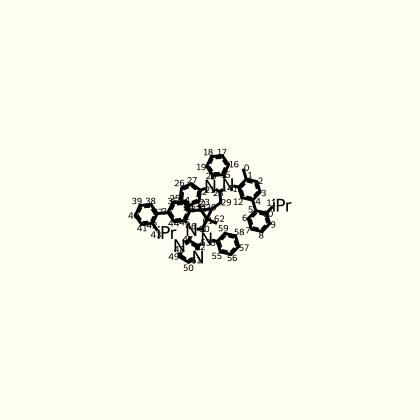 Cc1ccc(-c2ccccc2C(C)C)cc1N1c2ccccc2N(c2ccccc2)C1CC1C2(C)c3ccc(-c4ccccc4C(C)C)cc3N3c4nccnc4N(c4ccccc4)C3C12C